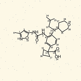 Cc1cc(NC(=O)Nc2cc(C3(C(=O)O)CCC3)ccc2N(CC(C)C)C2CCOCC2)on1